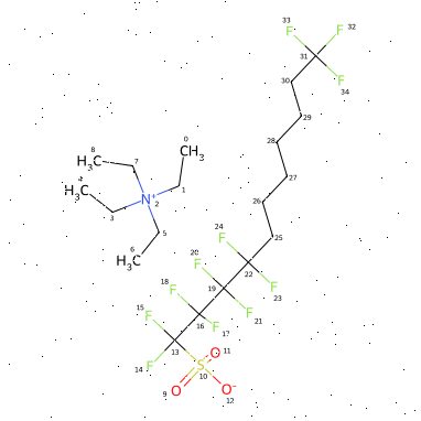 CC[N+](CC)(CC)CC.O=S(=O)([O-])C(F)(F)C(F)(F)C(F)(F)C(F)(F)CCCCCCC(F)(F)F